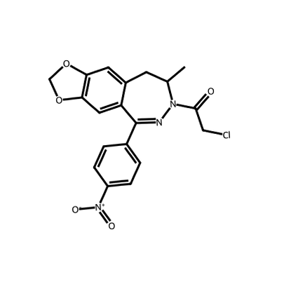 CC1Cc2cc3c(cc2C(c2ccc([N+](=O)[O-])cc2)=NN1C(=O)CCl)OCO3